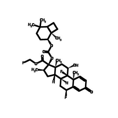 C[C@@H]1C[C@H]2[C@@H]3C[C@H](F)C4=CC(=O)C=C[C@]4(C)[C@@]3(F)[C@@H](O)C[C@]2(C)[C@@]1(OC(=O)O[C@H]1CCC(C)(C)C2CC[C@]21C)C(=O)OCF